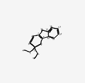 CCC1(CC)C=CC2=C(C1)c1ccccc1C2